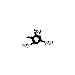 Cc1c(C(=O)O)[c]c(C(=O)O)cc1C(=O)O